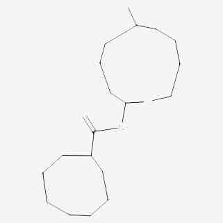 CC1CCCCCC(NC(=O)C2CCCCCCC2)CCC1